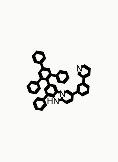 C1=CC2Nc3c(-c4ccccc4)cc(-c4c(-c5ccccc5)cc(-c5ccccc5)cc4-c4ccccc4)cc3N2C=C1c1cccc(-c2cccnc2)c1